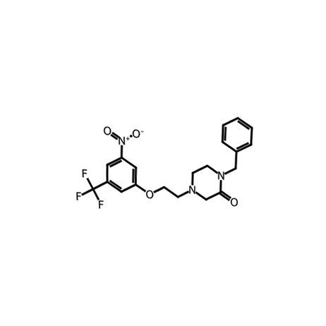 O=C1CN(CCOc2cc([N+](=O)[O-])cc(C(F)(F)F)c2)CCN1Cc1ccccc1